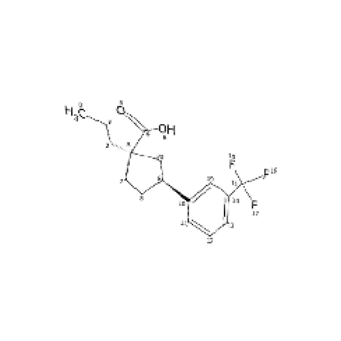 CCC[C@@]1(C(=O)O)CC[C@H](c2cccc(C(F)(F)F)c2)C1